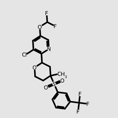 CC1(S(=O)(=O)c2cccc(C(F)(F)F)c2)CCOC(c2ncc(OC(F)F)cc2Cl)C1